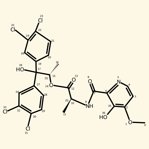 COc1ccnc(C(=O)N[C@@H](C)C(=O)O[C@@H](C)C(O)(c2ccc(Cl)c(Cl)c2)c2ccc(Cl)c(Cl)c2)c1O